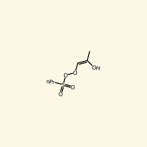 CCCS(=O)(=O)OOC=C(C)O